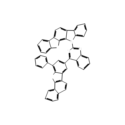 c1ccc(-c2cc(-c3nc(-n4c5ccccc5c5ccc6c7ccccc7sc6c54)nc4ccccc34)cc3c2oc2c4ccccc4ccc32)cc1